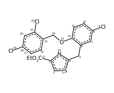 CCOC(=O)c1csc(Cc2cc(Cl)ccc2OCc2ccc(Cl)cc2Cl)n1